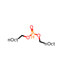 CCCCCCCCCO[PH](=O)OCCCCCCCCC